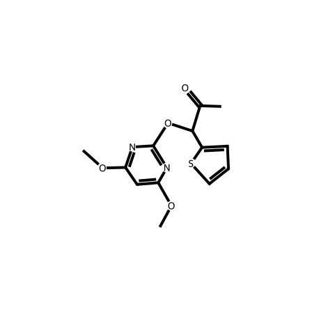 COc1cc(OC)nc(OC(C(C)=O)c2cccs2)n1